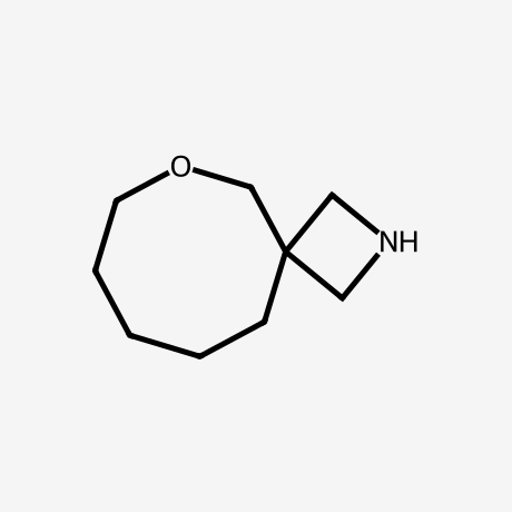 C1CCOCC2(CC1)CNC2